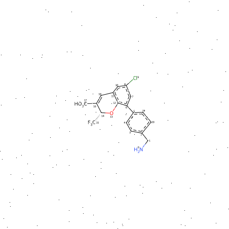 NCc1ccc(-c2cc(Cl)cc3c2O[C@H](C(F)(F)F)C(C(=O)O)=C3)cc1